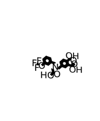 O=C(O)CN(Cc1cccc(OC(F)(F)F)c1)Cc1ccc(C(=O)O)c(C(=O)O)c1